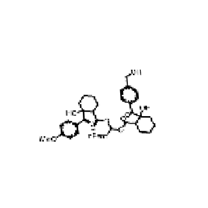 CCCCCC(OC(=O)C1CCCCC1(O)C(=O)c1ccc(CO)cc1)OC(=O)C1CCCCC1(O)C(=O)c1ccc(OC)cc1